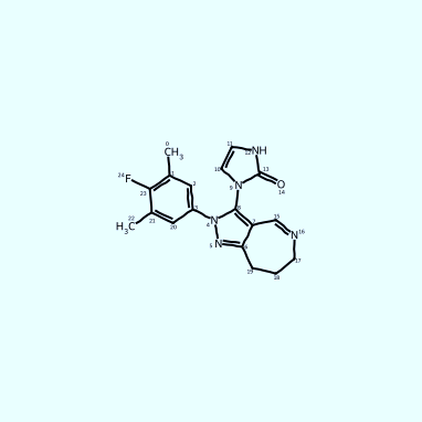 Cc1cc(-n2nc3c(c2-n2cc[nH]c2=O)C=NCCC3)cc(C)c1F